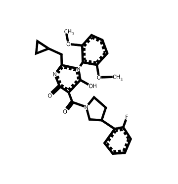 COc1cccc(OC)c1-n1c(CC2CC2)nc(=O)c(C(=O)N2CCC(c3ccccc3F)C2)c1O